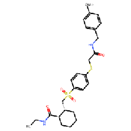 COc1ccc(CNC(=O)CSc2ccc(S(=O)(=O)C[C@@H]3CCCC[C@H]3C(=O)NCC#N)cc2)cc1